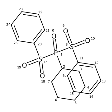 O=P(C1CCCCC1)(S(=O)(=O)c1ccccc1)S(=O)(=O)c1ccccc1